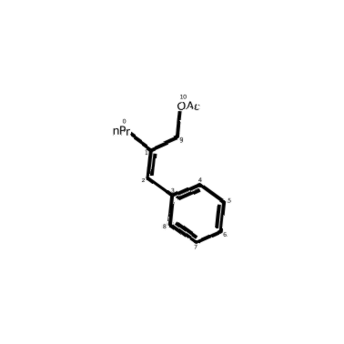 CCCC(=Cc1ccccc1)COC(C)=O